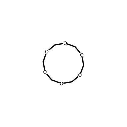 C1OCOCOCOCOCO1